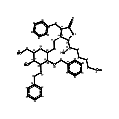 CCCCCCCCCCCCCC[C@H](O)[C@H]1OC(=O)N(Cc2ccccc2)[C@H]1CCC1OC(CO)[C@H](O)C(OCc2ccccc2)[C@@H]1OCc1ccccc1